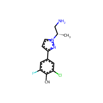 C[C@@H](CN)n1ccc(-c2cc(F)c(C#N)c(Cl)c2)n1